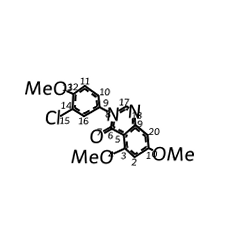 COc1cc(OC)c2c(=O)n(-c3ccc(OC)c(Cl)c3)cnc2c1